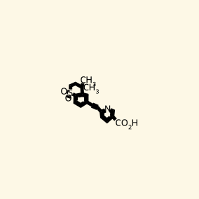 CC1(C)CCS(=O)(=O)c2ccc(C#Cc3ccc(C(=O)O)cn3)cc21